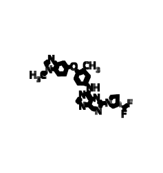 Cc1cc(Nc2ncnc3cnc(N4CC[C@H](C(F)F)C4)nc23)ccc1Oc1ccc2c(c1)ncn2C